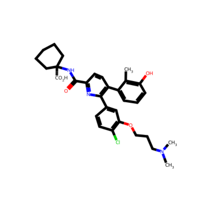 Cc1c(O)cccc1-c1ccc(C(=O)NC2(C(=O)O)CCCCC2)nc1-c1ccc(Cl)c(OCCCN(C)C)c1